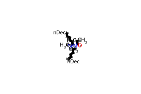 C=C(C)C(=O)N(CCCCCCCCCCCCCCCC)C(CCCCCCCCCCCCCCC)N(C)C